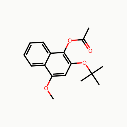 COc1cc(OC(C)(C)C)c(OC(C)=O)c2ccccc12